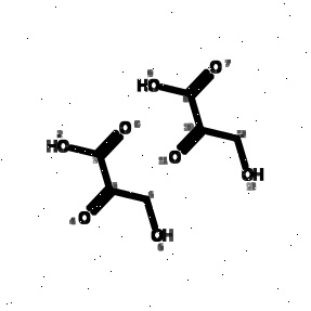 O=C(O)C(=O)CO.O=C(O)C(=O)CO